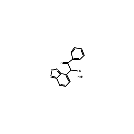 N#CC(C(=O)c1ccccc1)c1cccc2nonc12.[NaH]